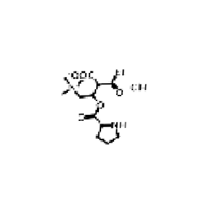 CCC(=O)C(C(=O)[O-])C(C[N+](C)(C)C)OC(=O)[C@@H]1CCCN1.Cl